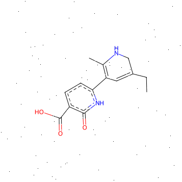 CCC1=CC(c2ccc(C(=O)O)c(=O)[nH]2)=C(C)NC1